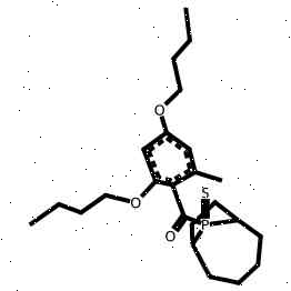 CCCCOc1cc(C)c(C(=O)P2(=S)C3CCCCC2CC3)c(OCCCC)c1